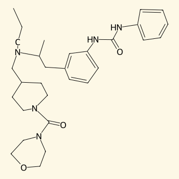 CCCN(CC1CCN(C(=O)N2CCOCC2)CC1)C(C)Cc1cccc(NC(=O)Nc2ccccc2)c1